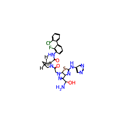 NC(O)C1=NN(CC(=O)N2C[C@@H]3C[C@@H]3[C@H]2C(=O)Nc2cccc(-c3ccccc3Cl)c2F)C2SC(Nc3cncnc3)=NC12